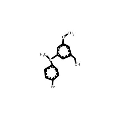 COc1cc(CO)cc(N(C)c2ccc(Br)cc2)c1